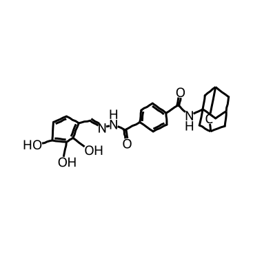 O=C(N/N=C/c1ccc(O)c(O)c1O)c1ccc(C(=O)NC23CC4CC(CC(C4)C2)C3)cc1